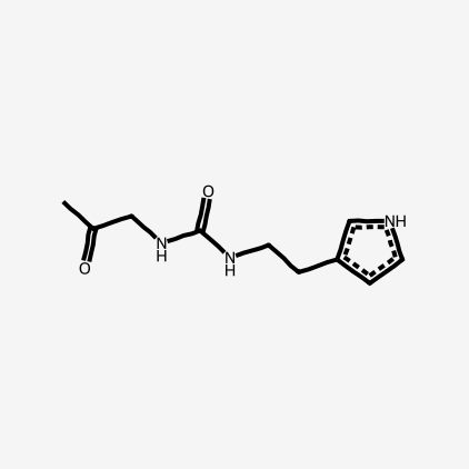 CC(=O)CNC(=O)NCCc1cc[nH]c1